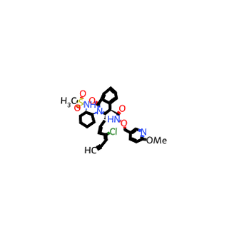 C#C/C=C(Cl)\C=C/C[C@H]1[C@H](C(=O)NOCc2ccc(OC)nc2)c2ccccc2C(=O)N1[C@H]1CCCC[C@@H]1NS(C)(=O)=O